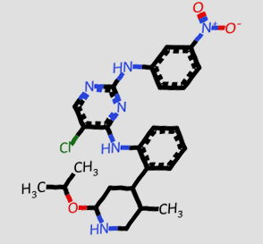 CC(C)OC1CC(c2ccccc2Nc2nc(Nc3cccc([N+](=O)[O-])c3)ncc2Cl)C(C)CN1